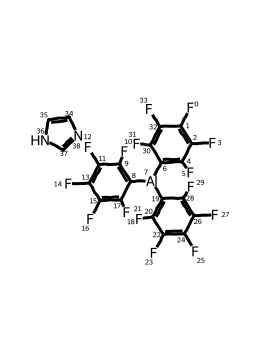 Fc1c(F)c(F)[c]([Al]([c]2c(F)c(F)c(F)c(F)c2F)[c]2c(F)c(F)c(F)c(F)c2F)c(F)c1F.c1c[nH]cn1